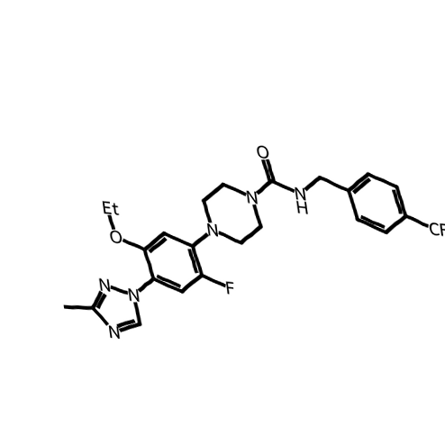 CCOc1cc(N2CCN(C(=O)NCc3ccc(C(F)(F)F)cc3)CC2)c(F)cc1-n1cnc(C)n1